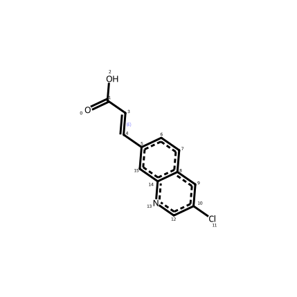 O=C(O)/C=C/c1ccc2cc(Cl)cnc2c1